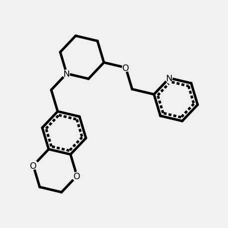 c1ccc(COC2CCCN(Cc3ccc4c(c3)OCCO4)C2)nc1